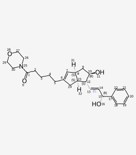 O=C(CCCCC1=C[C@H]2C[C@@H](O)[C@H](/C=C/[C@@H](O)c3ccccc3)[C@H]2C1)N1CCOCC1